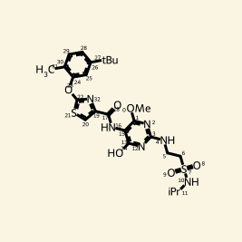 COc1nc(NCCS(=O)(=O)NC(C)C)nc(O)c1NC(=O)c1csc(Oc2cc(C(C)(C)C)ccc2C)n1